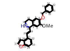 COc1cc2c(cc1OCc1ccccc1)CCNC2/C=C/c1cccc2occc12